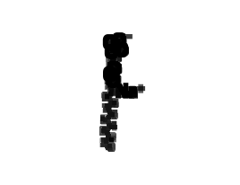 CCCCCCCCCCCCOOOCCOS(=O)(=O)[O-].[Na+]